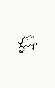 CCNCCCC(OC(C)(C)C)C(C)C(C)CCC(C)OC(C)(C)C